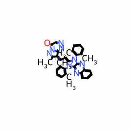 Cc1cccc(C)c1N1C(=C/C=c2/c(C)nn3c(=O)cnnc23)N(c2c(C)cccc2C)c2nc3ccccc3nc21